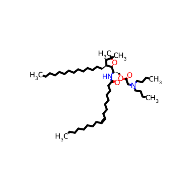 CCCCCCCC/C=C\CCCCCCCC(=O)N[C@@H](COC(=O)CN(CCCC)CCCC)[C@@H]1OC(C)(C)C[C@@H]1CCCCCCCCCCCCCC